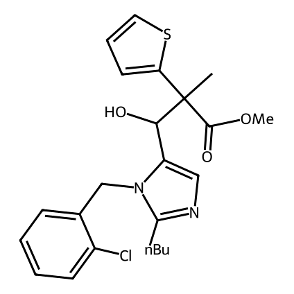 CCCCc1ncc(C(O)C(C)(C(=O)OC)c2cccs2)n1Cc1ccccc1Cl